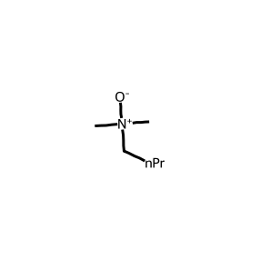 CCCC[N+](C)(C)[O-]